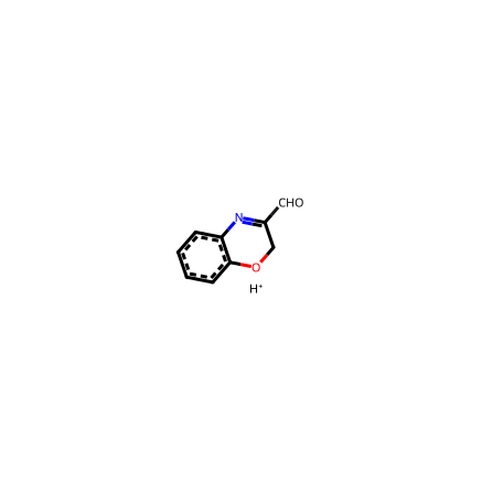 O=CC1=Nc2ccccc2OC1.[H+]